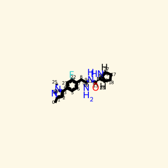 Cc1cc(-c2ccc(C[C@@H](N)NC(=O)[C@H]3N[C@@H]4CC[C@H]3C4)c(F)c2)n(C)n1